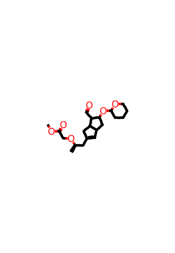 C=C(CC1=CC2CC(OC3CCCCO3)C(C=O)C2C1)OCC(=O)OC